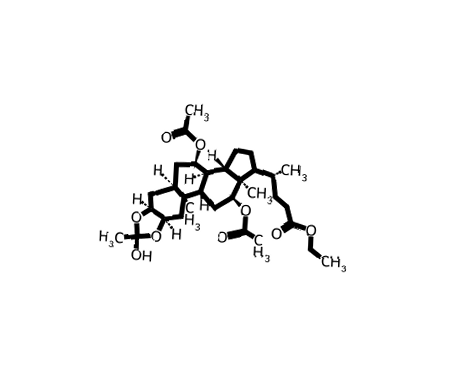 CCOC(=O)CC[C@@H](C)C1CC[C@H]2[C@@H]3[C@H](OC(C)=O)C[C@@H]4C[C@@H]5OC(C)(O)O[C@@H]5C[C@]4(C)[C@H]3C[C@H](OC(C)=O)[C@]12C